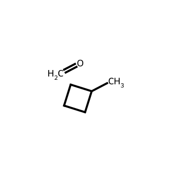 C=O.CC1CCC1